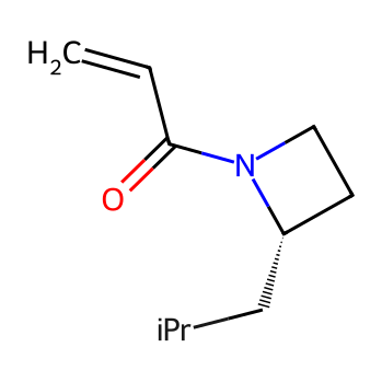 C=CC(=O)N1CC[C@@H]1CC(C)C